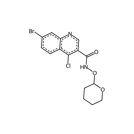 O=C(NOC1CCCCO1)c1cnc2cc(Br)ccc2c1Cl